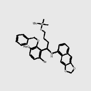 COc1ccc(Br)c(C(CCCO[Si](C)(C)C(C)(C)C)Nc2cccc3cc4c(cc23)OCO4)c1OCc1ccccc1